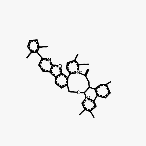 C=C1CC2c3cc(C)ccc3-c3cc(C)c(C)c[n+]3C2CCc2ccc3c(oc4nc(-c5c(C)cccc5C)ccc43)c2-c2ccc(C)c(C)[n+]21